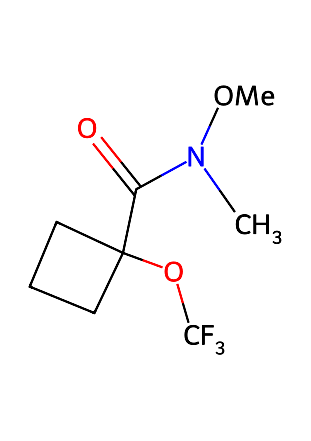 CON(C)C(=O)C1(OC(F)(F)F)CCC1